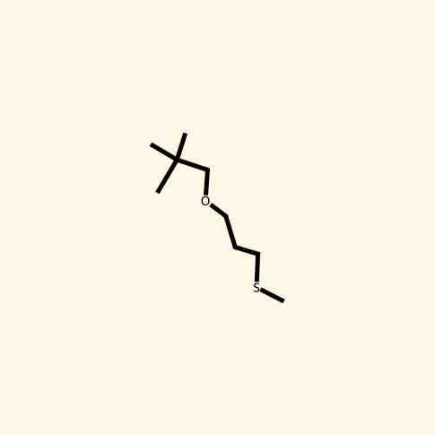 CSCCCOCC(C)(C)C